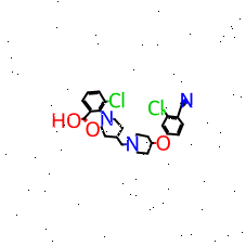 N#Cc1ccc(OC2CCN(CC3CCN(c4c(Cl)cccc4C(=O)O)CC3)CC2)cc1Cl